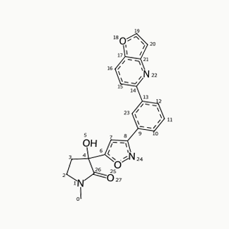 CN1CCC(O)(c2cc(-c3cccc(-c4ccc5occc5n4)c3)no2)C1=O